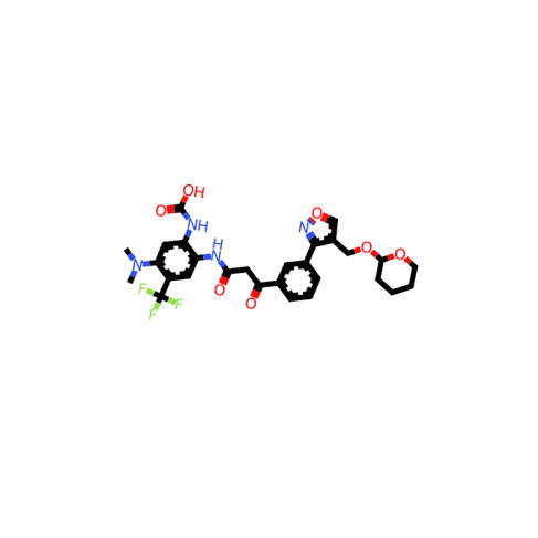 CN(C)c1cc(NC(=O)O)c(NC(=O)CC(=O)c2cccc(-c3nocc3COC3CCCCO3)c2)cc1C(F)(F)F